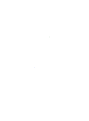 Clc1ccc2[nH]c3ccccc3c2c1